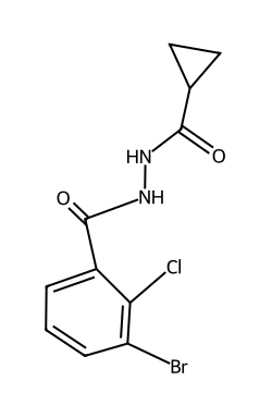 O=C(NNC(=O)C1CC1)c1cccc(Br)c1Cl